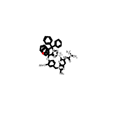 CCCCc1nc2cc(NC(=O)N(C)C)c(C)nc2n1Cc1ccc(OC(c2ccccc2)c2nnnn2C(c2ccccc2)(c2ccccc2)c2ccccc2)c(OC)c1